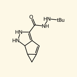 CC(C)(C)NNC(=O)C1=C2C=C3CC3C2NN1